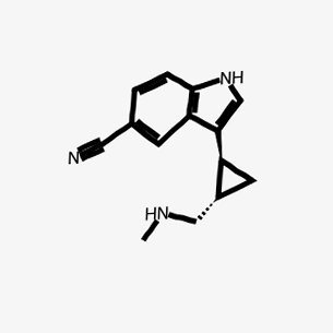 CNC[C@H]1C[C@@H]1c1c[nH]c2ccc(C#N)cc12